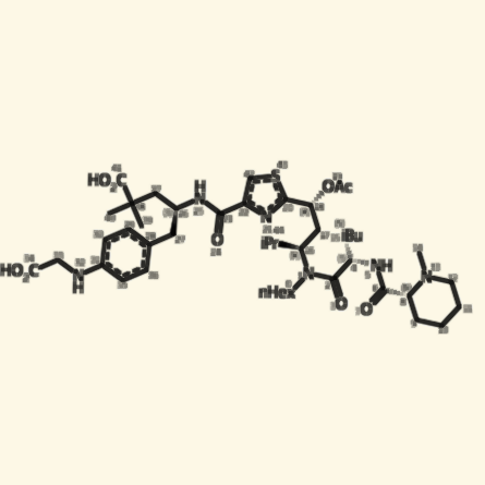 CCCCCCN(C(=O)[C@@H](NC(=O)[C@H]1CCCCN1C)[C@@H](C)CC)[C@H](C[C@@H](OC(C)=O)c1nc(C(=O)N[C@@H](Cc2ccc(NCC(=O)O)cc2)CC(C)(C)C(=O)O)cs1)C(C)C